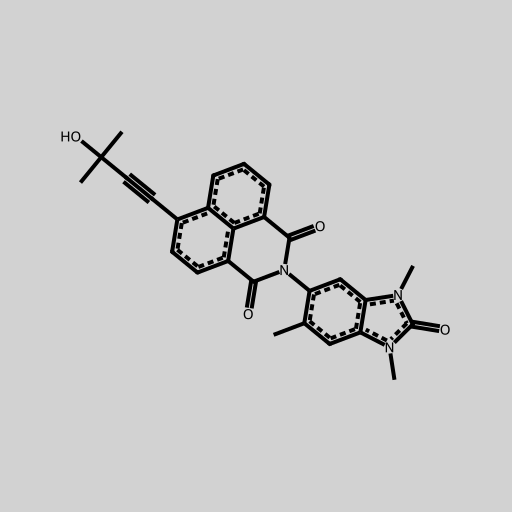 Cc1cc2c(cc1N1C(=O)c3cccc4c(C#CC(C)(C)O)ccc(c34)C1=O)n(C)c(=O)n2C